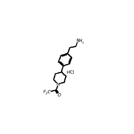 Cl.NCCc1ccc(C2CCN(C(=O)C(F)(F)F)CC2)cc1